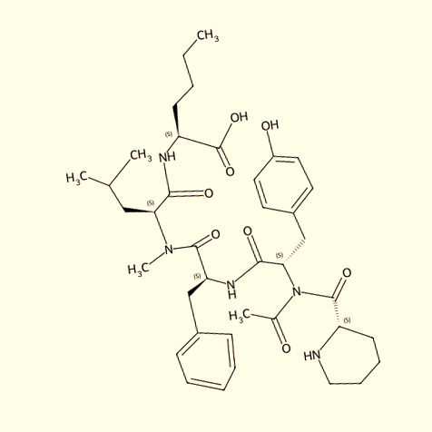 CCCC[C@H](NC(=O)[C@H](CC(C)C)N(C)C(=O)[C@H](Cc1ccccc1)NC(=O)[C@H](Cc1ccc(O)cc1)N(C(C)=O)C(=O)[C@@H]1CCCCN1)C(=O)O